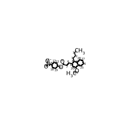 CCCCc1c(/C=C/C(=O)Oc2ccc([N+](=O)[O-])cc2)cc(OC)c2ccccc12